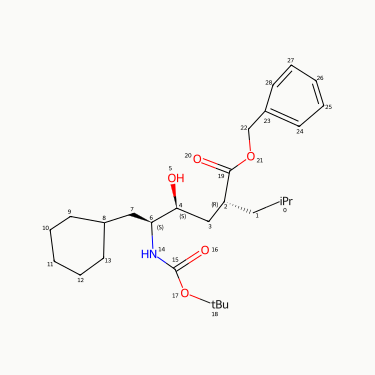 CC(C)C[C@H](C[C@H](O)[C@H](CC1CCCCC1)NC(=O)OC(C)(C)C)C(=O)OCc1ccccc1